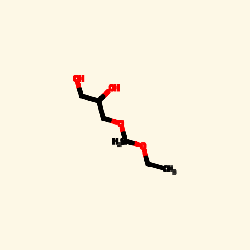 CCO[SiH2]OCC(O)CO